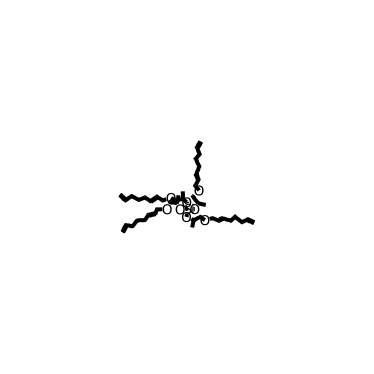 C=CCCCC=CCOCC(C)O[Si](OC(C)COCC=CCCCC=C)(OC(C)COCC=CCCCC=C)OC(C)COCC=CCCCC=C